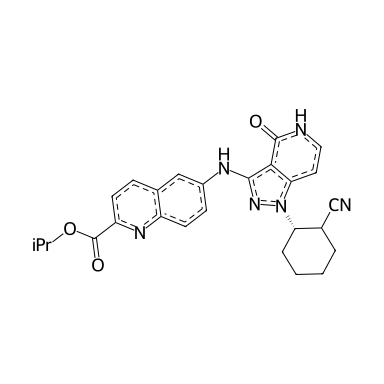 CC(C)OC(=O)c1ccc2cc(Nc3nn([C@H]4CCCCC4C#N)c4cc[nH]c(=O)c34)ccc2n1